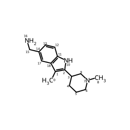 Cc1c(C2CCCN(C)C2)[nH]c2ccc(CN)cc12